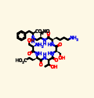 CC(O)[C@H](NC(=O)[C@H](CCC(=O)O)NC(=O)[C@@H](N)CO)C(=O)N[C@@H](CO)C(=O)N[C@@H](CCCCN)C(=O)N[C@@H](CN=O)CN[C@@H](Cc1ccccc1)C(=O)O